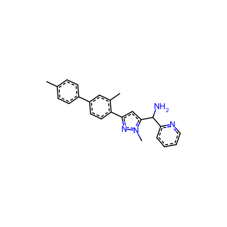 Cc1ccc(-c2ccc(-c3cc(C(N)c4ccccn4)n(C)n3)c(C)c2)cc1